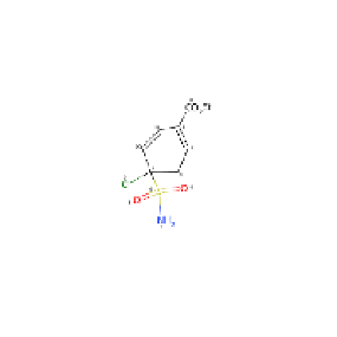 CCOC(=O)C1=CCC(Cl)(S(N)(=O)=O)C=C1